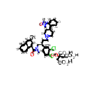 CN(C[C@@H](CCN1CCC(c2ccccc2[N+](C)(C)[O-])CC1)c1ccc(Cl)c(Cl)c1)C(=O)c1cc(C#N)cc2ccccc12.O=C(O)CC(O)(CC(=O)O)C(=O)O